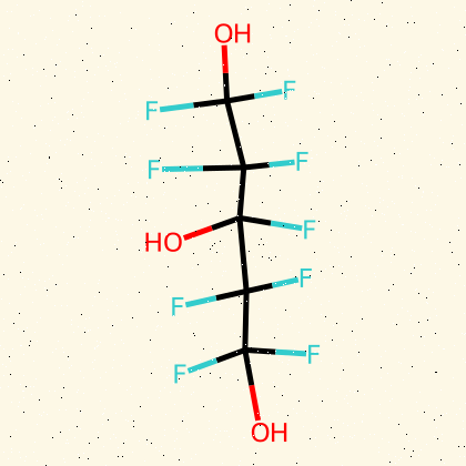 OC(F)(F)C(F)(F)C(O)(F)C(F)(F)C(O)(F)F